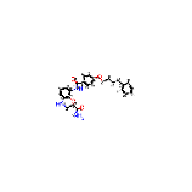 NC(=O)C1CNc2cccc(NC(=O)c3ccc(OCCCCc4ccccc4)cc3)c2O1